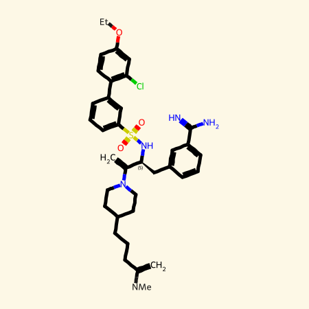 C=C(CCCC1CCN(C(=C)[C@H](Cc2cccc(C(=N)N)c2)NS(=O)(=O)c2cccc(-c3ccc(OCC)cc3Cl)c2)CC1)NC